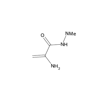 C=C(N)C(=O)NNC